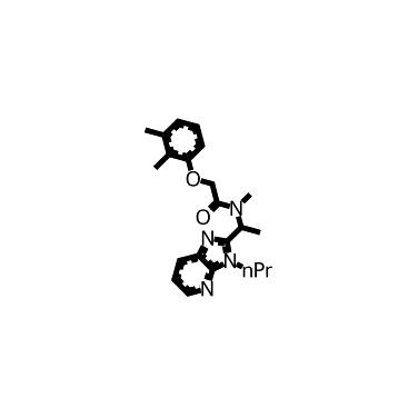 CCCn1c(C(C)N(C)C(=O)COc2cccc(C)c2C)nc2cccnc21